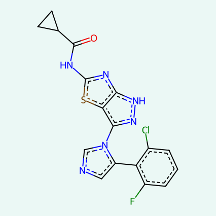 O=C(Nc1nc2[nH]nc(-n3cncc3-c3c(F)cccc3Cl)c2s1)C1CC1